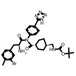 Cc1ccc(C[C@H](N)C(=O)N(c2ccc(-c3nnn[nH]3)cc2)C(=O)[C@H]2CC[C@H](CNC(=O)OC(C)(C)C)CC2)cc1Br